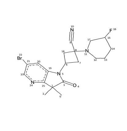 CC1(C)C(=O)N(C2CC(C#N)(N3CCCC(F)C3)C2)c2cc(Br)cnc21